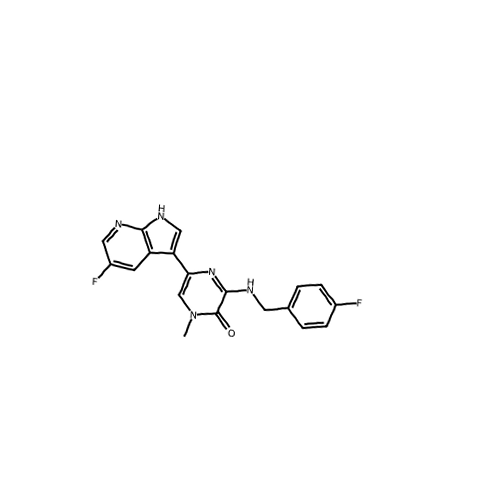 Cn1cc(-c2c[nH]c3ncc(F)cc23)nc(NCc2ccc(F)cc2)c1=O